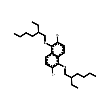 CCCCC(CC)COc1c(Br)ccc2c(OCC(CC)CCCC)c(Br)ccc12